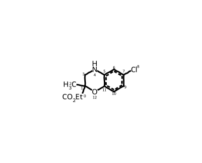 CCOC(=O)C1(C)CNc2cc(Cl)ccc2O1